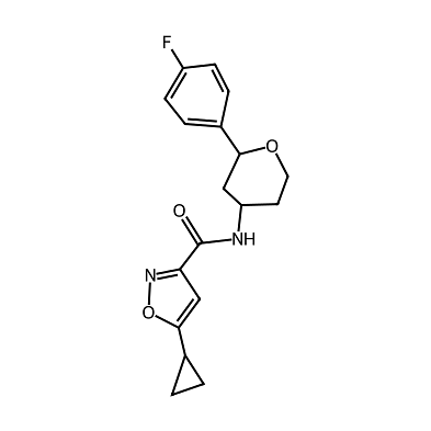 O=C(NC1CCOC(c2ccc(F)cc2)C1)c1cc(C2CC2)on1